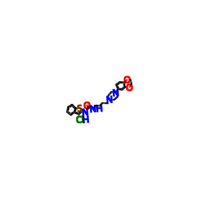 O=C(NCCCCN1CCN(c2ccc3c(c2)OCCO3)CC1)Nc1sc2ccccc2c1Cl